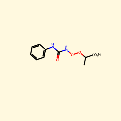 CC(OONC(=O)Nc1ccccc1)C(=O)O